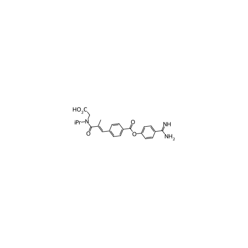 C/C(=C\c1ccc(C(=O)Oc2ccc(C(=N)N)cc2)cc1)C(=O)N(CC(=O)O)C(C)C